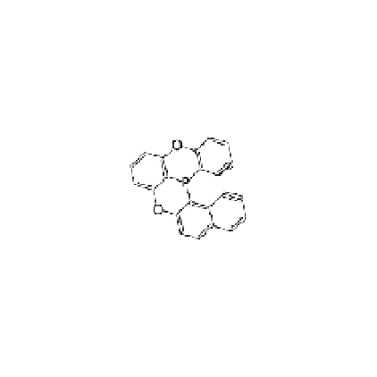 c1ccc2ccc3c(c2c#1)P1c2c(cccc2O3)Oc2ccc3c(c21)CCC=C3